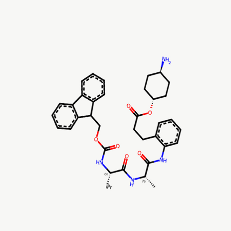 CC(C)[C@H](NC(=O)OCC1c2ccccc2-c2ccccc21)C(=O)N[C@@H](C)C(=O)Nc1ccccc1CCC(=O)O[C@H]1CC[C@H](N)CC1